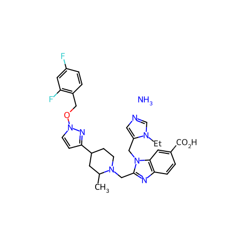 CCn1cncc1Cn1c(CN2CCC(c3ccn(OCc4ccc(F)cc4F)n3)CC2C)nc2ccc(C(=O)O)cc21.N